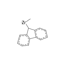 [CH3][Zr]([CH3])[CH]1c2ccccc2-c2ccccc21